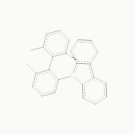 Cc1cccc(I)c1-c1c(C)cccc1-p1c2ccccc2c2ccccc21